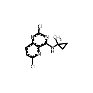 CC1(Nc2nc(Cl)nc3ccc(Cl)nc23)CC1